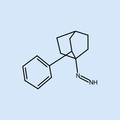 N=NC12CCC(CC1)CC2c1ccccc1